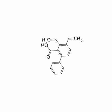 C=Cc1ccc(-c2ccccc2)c(C(=O)O)c1C=C